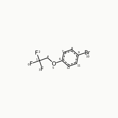 FC(F)(F)COc1[c]cc(Br)cc1